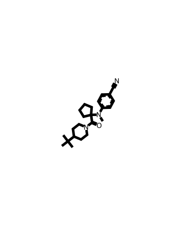 CN(c1ccc(C#N)cc1)C1(C(=O)N2CCC(C(C)(C)C)CC2)CCCC1